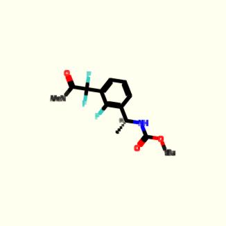 CNC(=O)C(F)(F)c1cccc([C@@H](C)NC(=O)OC(C)(C)C)c1F